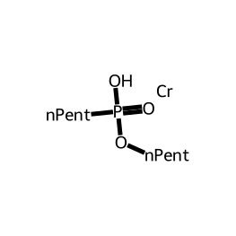 CCCCCOP(=O)(O)CCCCC.[Cr]